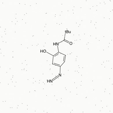 CC(C)(C)C(=O)Nc1ccc(N=N)cc1O